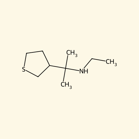 CCNC(C)(C)C1CCSC1